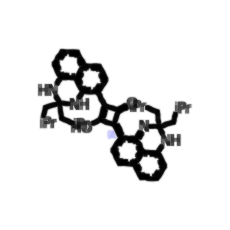 CC(C)CC1(CC(C)C)N=c2/c(=C3\C(=O)C(c4ccc5cccc6c5c4NC(CC(C)C)(CC(C)C)N6)=C3O)ccc3cccc(c23)N1